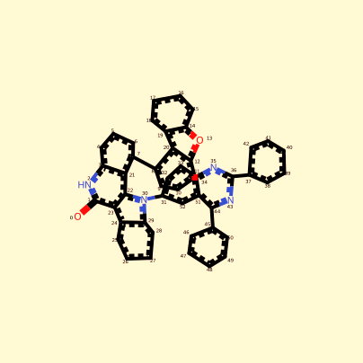 O=c1[nH]c2cccc(-c3cccc4oc5ccccc5c34)c2c2c1c1ccccc1n2-c1ccc2nc(-c3ccccc3)nc(-c3ccccc3)c2c1